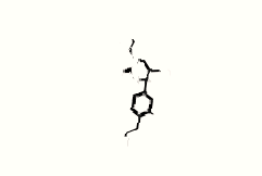 CCOC(=O)CCN1C=C(C(C)C)[C@@](C)(c2ccc(CCC(C)(C)C)c(Cl)c2)NC1=O